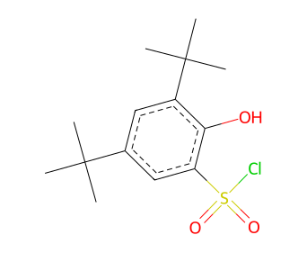 CC(C)(C)c1cc(C(C)(C)C)c(O)c(S(=O)(=O)Cl)c1